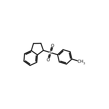 Cc1ccc(S(=O)(=O)C2CCc3ccccc32)cc1